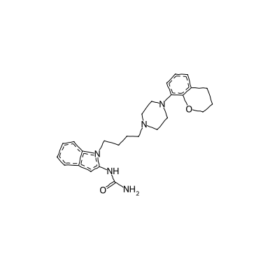 NC(=O)Nc1cc2ccccc2n1CCCCN1CCN(c2cccc3c2OCCC3)CC1